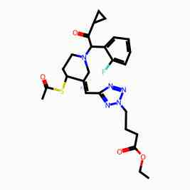 CCOC(=O)CCCn1nnc(/C=C2\CN(C(C(=O)C3CC3)c3ccccc3F)CCC2SC(C)=O)n1